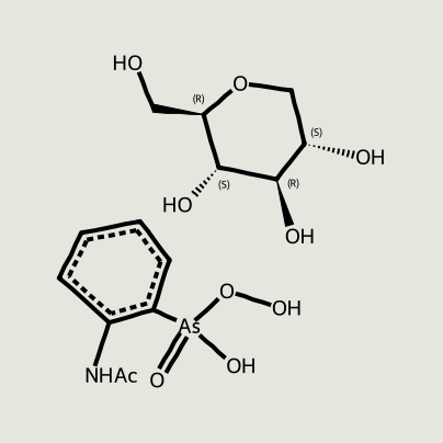 CC(=O)Nc1ccccc1[As](=O)(O)OO.OC[C@H]1OC[C@H](O)[C@@H](O)[C@@H]1O